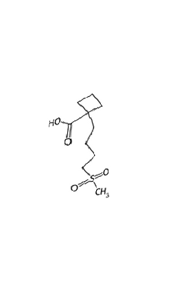 CS(=O)(=O)CCCCC1(C(=O)O)CCC1